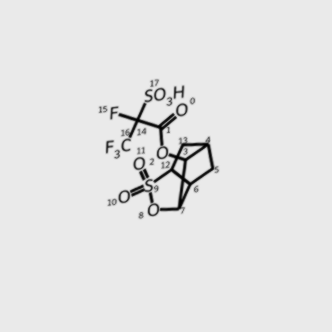 O=C(OC1C2CC3C1OS(=O)(=O)C3C2)C(F)(C(F)(F)F)S(=O)(=O)O